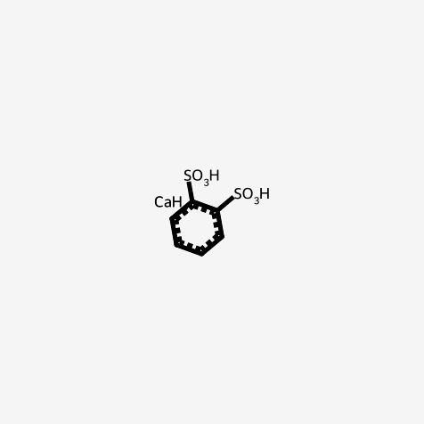 O=S(=O)(O)c1ccccc1S(=O)(=O)O.[CaH2]